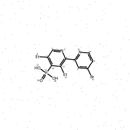 CCc1cnc(-c2cc(Br)ccn2)c(CC)c1P(=O)(O)O